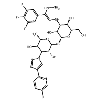 C[C@H]1O[C@@H](S[C@@H]2OC(CO)[C@H](O)C(N/C=C(\NN)c3cc(F)c(F)c(F)c3)C2O)[C@H](O)C(n2cc(-c3ccc(F)cn3)nn2)C1O